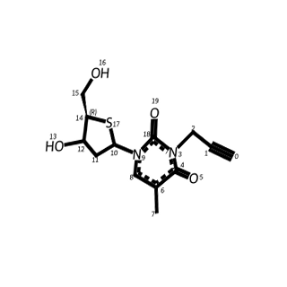 C#CCn1c(=O)c(C)cn(C2CC(O)[C@@H](CO)S2)c1=O